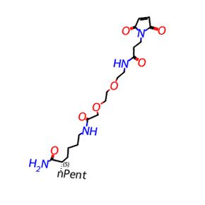 CCCCC[C@@H](CCCCNC(=O)COCCOCCNC(=O)CCN1C(=O)C=CC1=O)C(N)=O